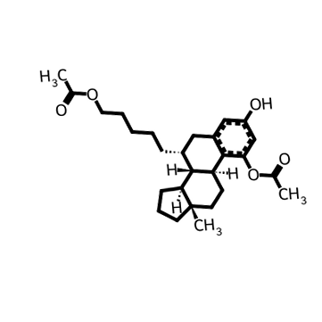 CC(=O)OCCCCC[C@@H]1Cc2cc(O)cc(OC(C)=O)c2[C@H]2CC[C@]3(C)CCC[C@H]3[C@H]12